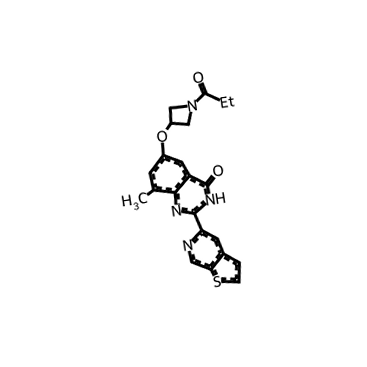 CCC(=O)N1CC(Oc2cc(C)c3nc(-c4cc5ccsc5cn4)[nH]c(=O)c3c2)C1